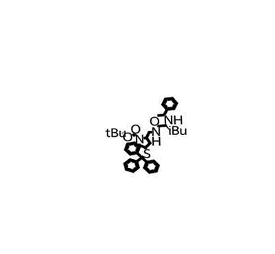 CC[C@H](C)[C@H](NC(C)c1ccccc1)C(=O)NCC1CC(SC(c2ccccc2)(c2ccccc2)c2ccccc2)CN1C(=O)OC(C)(C)C